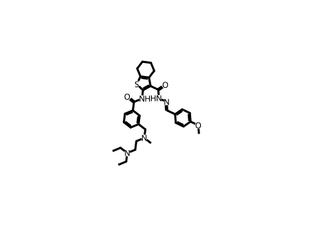 CCN(CC)CCN(C)Cc1cccc(C(=O)Nc2sc3c(c2C(=O)NN=Cc2ccc(OC)cc2)CCCC3)c1